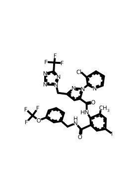 Cc1cc(I)cc(C(=O)NCc2cccc(OC(F)(F)F)c2)c1NC(=O)c1cc(Cn2nnc(C(F)(F)F)n2)nn1-c1ncccc1Cl